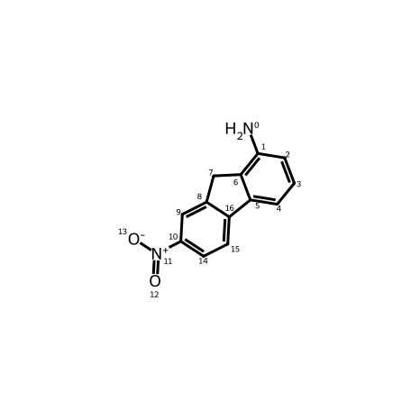 Nc1cccc2c1Cc1cc([N+](=O)[O-])ccc1-2